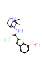 CCOc1cccc2cc(C(=O)NC3C4CCN(CC4)C3(C)C)sc12.Cl